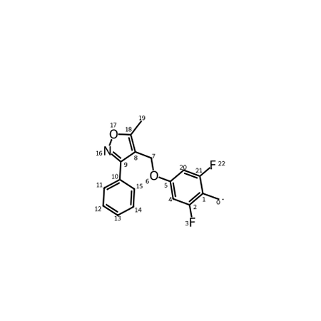 [CH2]c1c(F)cc(OCc2c(-c3ccccc3)noc2C)cc1F